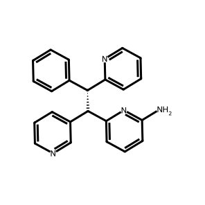 Nc1cccc(C(c2cccnc2)[C@H](c2ccccc2)c2ccccn2)n1